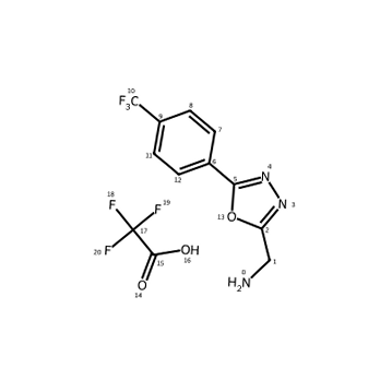 NCc1nnc(-c2ccc(C(F)(F)F)cc2)o1.O=C(O)C(F)(F)F